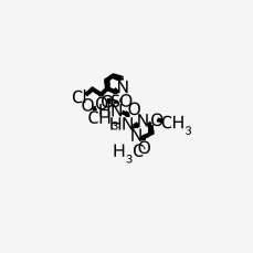 COc1cc(OC)nc(NC(=O)NS(=O)(=O)c2ncccc2C(CCl)OC(C)=O)n1